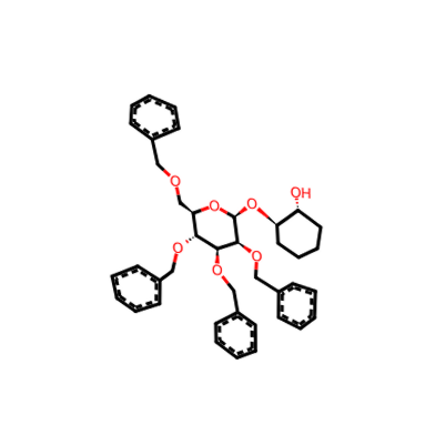 O[C@@H]1CCCC[C@H]1O[C@@H]1O[C@H](COCc2ccccc2)[C@@H](OCc2ccccc2)[C@H](OCc2ccccc2)[C@@H]1OCc1ccccc1